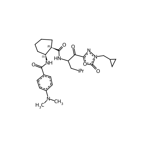 CC(C)CC(NC(=O)[C@@H]1CCCC[C@@H]1NC(=O)c1ccc(N(C)C)cc1)C(=O)c1nn(CC2CC2)c(=O)o1